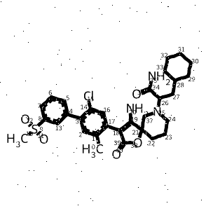 Cc1cc(-c2cccc(S(C)(=O)=O)c2)c(Cl)cc1C1=C(N)C2(CCCN(C(CC3CCCCC3)C(N)=O)C2)OC1=O